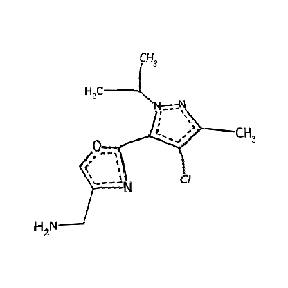 Cc1nn(C(C)C)c(-c2nc(CN)co2)c1Cl